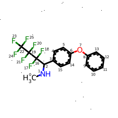 CNC(c1ccc(Oc2ccccc2)cc1)C(F)(F)C(F)(F)C(F)(F)F